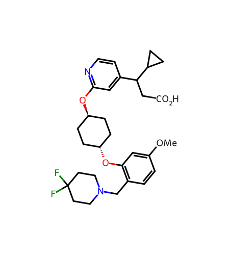 COc1ccc(CN2CCC(F)(F)CC2)c(O[C@H]2CC[C@H](Oc3cc(C(CC(=O)O)C4CC4)ccn3)CC2)c1